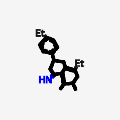 CCC1=C2CC(c3ccc(CC)cc3)CC(=N)C2=C(C)C(C)C1